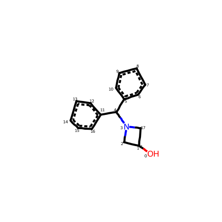 O[C]1CN(C(c2ccccc2)c2ccccc2)C1